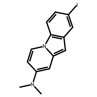 CN(C)c1ccn2c(c1)cc1cc(I)ccc12